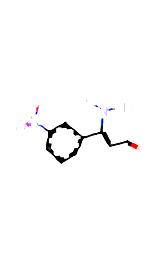 CN(C)C(=CC=O)c1cccc([N+](=O)[O-])c1